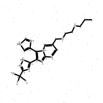 CCCOCCOCc1cnc2nc(-c3nc(C(F)(F)F)n[nH]3)c(-c3c[nH]cn3)n2c1